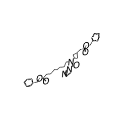 O=C(CCCCCCCN(C(=O)n1ccnc1)C1CC(CC(=O)OCc2ccccc2)C1)OCc1ccccc1